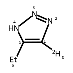 [2H]c1nn[nH]c1CC